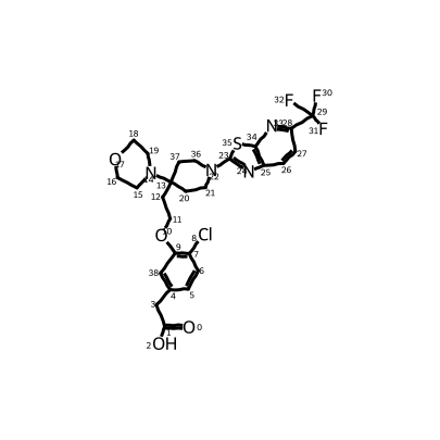 O=C(O)Cc1ccc(Cl)c(OCCC2(N3CCOCC3)CCN(c3nc4ccc(C(F)(F)F)nc4s3)CC2)c1